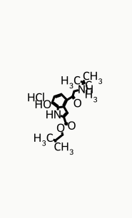 CC(C)COC(=O)c1cc2c(C(=O)CNC(C)(C)C)ccc(O)c2[nH]1.Cl